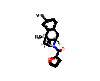 COc1ccc2c(c1)[C@]1(C)CCN(C(=O)c3ccco3)[C@H](C2)[C@@H]1C